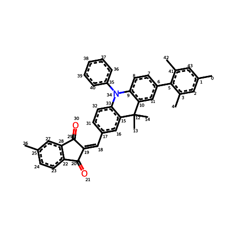 Cc1cc(C)c(-c2ccc3c(c2)C(C)(C)c2cc(/C=C4/C(=O)c5ccc(C)cc5C4=O)ccc2N3c2ccccc2)c(C)c1